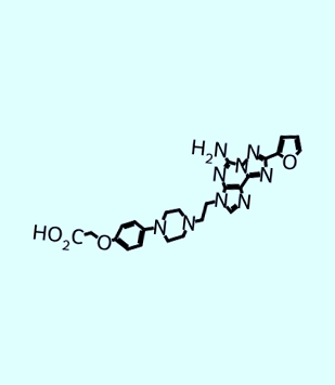 Nc1nc2c(ncn2CCN2CCN(c3ccc(OCC(=O)O)cc3)CC2)c2nc(-c3ccco3)nn12